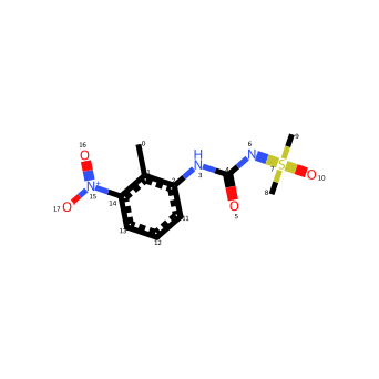 Cc1c(NC(=O)N=S(C)(C)=O)cccc1[N+](=O)[O-]